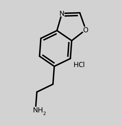 Cl.NCCc1ccc2ncoc2c1